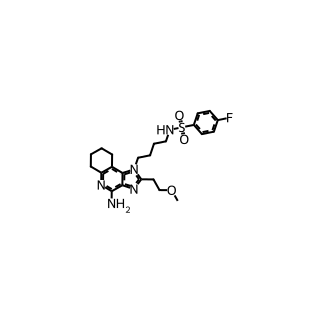 COCCc1nc2c(N)nc3c(c2n1CCCCNS(=O)(=O)c1ccc(F)cc1)CCCC3